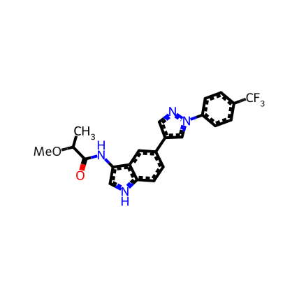 COC(C)C(=O)Nc1c[nH]c2ccc(-c3cnn(-c4ccc(C(F)(F)F)cc4)c3)cc12